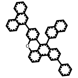 c1ccc(-c2ccc3c(-c4ccc5ccccc5c4)c4c5c(cccc5c3c2)Oc2cc(-c3cc5ccccc5c5ccccc35)ccc2-4)cc1